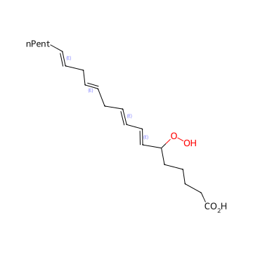 CCCCC/C=C/C/C=C/C/C=C/C=C/C(CCCCC(=O)O)OO